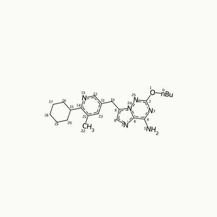 CCCCOc1nc(N)c2ncc(Cc3cnc(C4CCCCC4)c(C)c3)n2n1